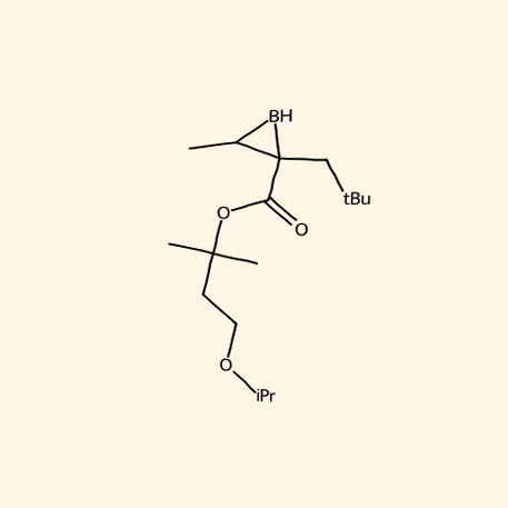 CC(C)OCCC(C)(C)OC(=O)C1(CC(C)(C)C)BC1C